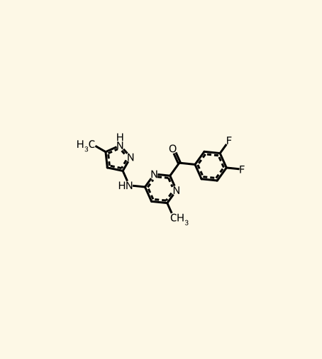 Cc1cc(Nc2cc(C)[nH]n2)nc(C(=O)c2ccc(F)c(F)c2)n1